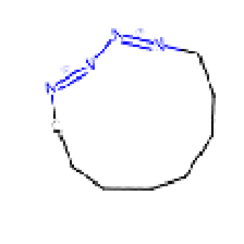 C1CCCC/N=N/N=N\CCC1